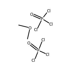 COC.O=P(Cl)(Cl)Cl.O=P(Cl)(Cl)Cl